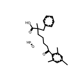 Cc1cc(C)c(C(=O)CCCCC(C)(Cc2ccccc2)C(=O)O)c(C)c1.O=P